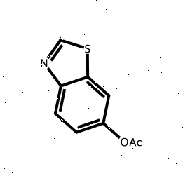 CC(=O)Oc1ccc2n[c]sc2c1